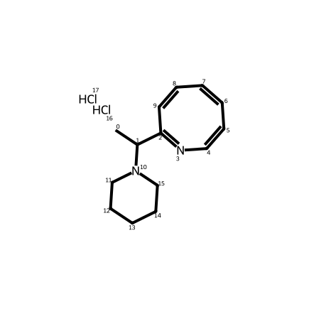 CC(C1=NC=CC=CC=C1)N1CCCCC1.Cl.Cl